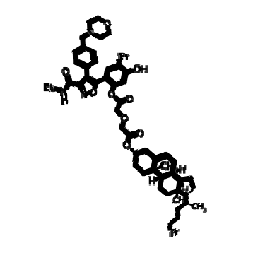 CCNC(=O)c1noc(-c2cc(C(C)C)c(O)cc2OC(=O)COCC(=O)O[C@H]2CC[C@@]3(C)C(=CC[C@H]4[C@@H]5CC[C@H]([C@H](C)CCCC(C)C)[C@@]5(C)CC[C@@H]43)C2)c1-c1ccc(CN2CCOCC2)cc1